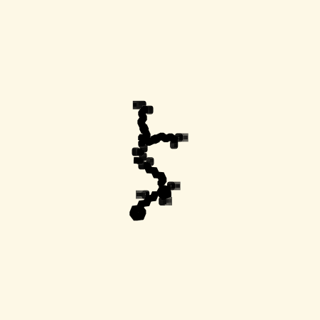 CC(OC(=O)CCC/C=C\C[C@@H]1[C@@H](CC[C@@H](O)CCc2ccccc2)[C@H](O)C[C@@H]1O)OC(=O)OCC(C)(CC#CCCCC(=O)O)CC#CCCCC(=O)O